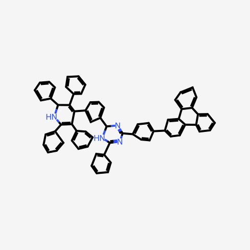 c1ccc(C2=NC(c3ccc(-c4ccc5c6ccccc6c6ccccc6c5c4)cc3)=NC(c3cccc(C4=C(c5ccccc5)C(c5ccccc5)NC(c5ccccc5)=C4c4ccccc4)c3)N2)cc1